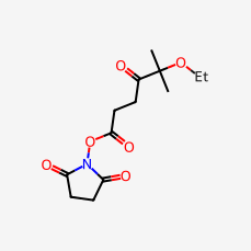 CCOC(C)(C)C(=O)CCC(=O)ON1C(=O)CCC1=O